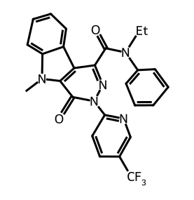 CCN(C(=O)c1nn(-c2ccc(C(F)(F)F)cn2)c(=O)c2c1c1ccccc1n2C)c1ccccc1